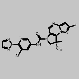 C[C@@]1(C(F)(F)F)CN(C(=O)Nc2cnc(-n3nccn3)c(Cl)c2)c2cnc3cc(F)nn3c21